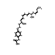 CC/C=C\C[C@H](O)/C=C/C=C\C=C\[C@@H](O)CCOc1ccc(CC(=O)O)cc1